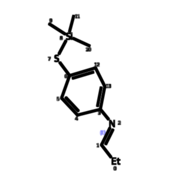 CC/C=N/c1ccc(S[Si](C)(C)C)cc1